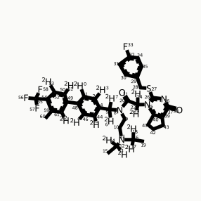 [2H]c1c([2H])c(C([2H])([2H])N(CCN(C([2H])([2H])C)C([2H])([2H])C)C(=O)C([2H])([2H])n2c(SCc3ccc(F)cc3)nc(=O)c3c2CCC3)c([2H])c([2H])c1-c1c([2H])c([2H])c(C(F)(F)F)c(C)c1[2H]